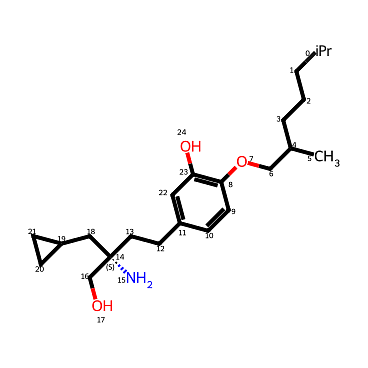 CC(C)CCCC(C)COc1ccc(CC[C@@](N)(CO)CC2CC2)cc1O